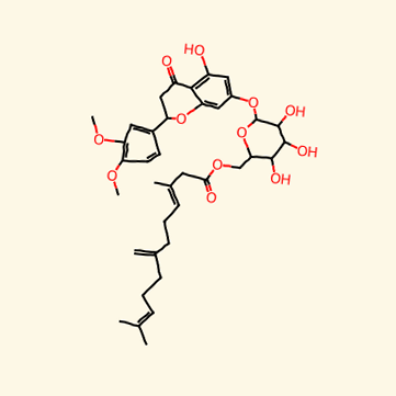 C=C(CCC=C(C)C)CC/C=C(\C)CC(=O)OCC1OC(Oc2cc(O)c3c(c2)OC(c2ccc(OC)c(OC)c2)CC3=O)C(O)C(O)C1O